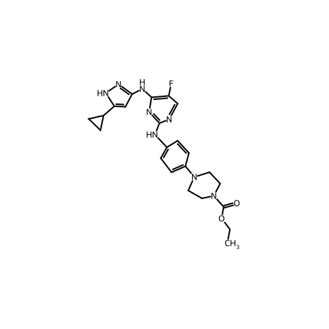 CCOC(=O)N1CCN(c2ccc(Nc3ncc(F)c(Nc4cc(C5CC5)[nH]n4)n3)cc2)CC1